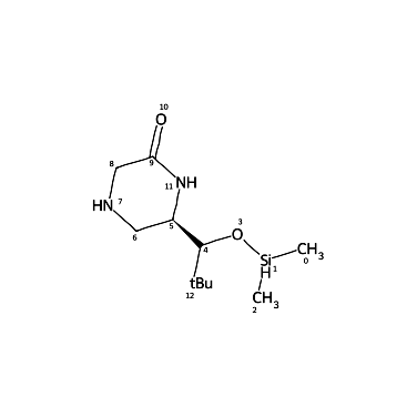 C[SiH](C)OC([C@H]1CNCC(=O)N1)C(C)(C)C